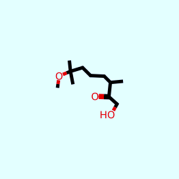 COC(C)(C)CCCC(C)C(=O)CO